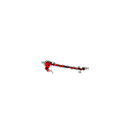 CCN1CCCc2cc3c(cc21)Cc1cc2c(cc1C31OC(=O)c3c(O)c(O)c(O)c(O)c31)CCCN2CCCC(=O)NCCOCCOCCOCCOCCOCCCCOCCOCCOCCC(=O)NCCc1ccc(O)cc1